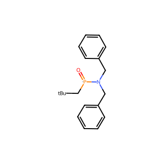 CC(C)(C)C[P](=O)N(Cc1ccccc1)Cc1ccccc1